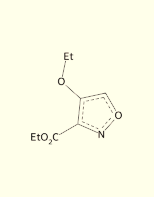 CCOC(=O)c1nocc1OCC